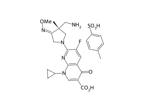 CON=C1CN(c2nc3c(cc2F)c(=O)c(C(=O)O)cn3C2CC2)C[C@@]1(C)CN.Cc1ccc(S(=O)(=O)O)cc1